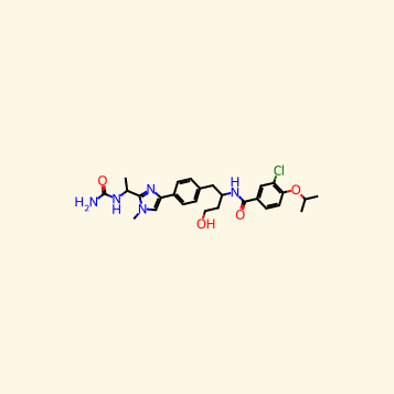 CC(C)Oc1ccc(C(=O)NC(CCO)Cc2ccc(-c3cn(C)c(C(C)NC(N)=O)n3)cc2)cc1Cl